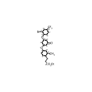 CCOC(=O)CCc1ccc(Oc2cc(Cl)cc(Oc3ccc(C(F)(F)F)cc3Br)c2)cc1C